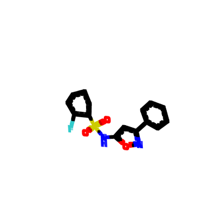 O=S(=O)(Nc1cc(-c2ccccc2)no1)c1ccccc1F